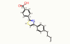 CCCCc1ccc(-c2csc(-c3ccc(C(=O)O)cc3)n2)cc1